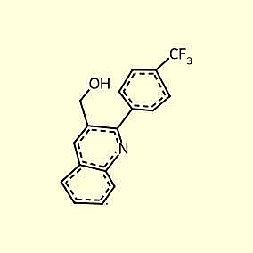 OCc1cc2cc[c]cc2nc1-c1ccc(C(F)(F)F)cc1